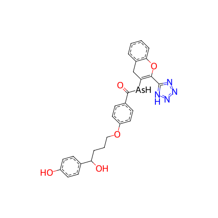 O=C([AsH]C1=C(c2nnn[nH]2)Oc2ccccc2C1)c1ccc(OCCCC(O)c2ccc(O)cc2)cc1